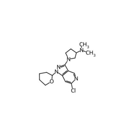 CN(C)C1CCN(c2nn(C3CCCCO3)c3cc(Cl)ncc23)C1